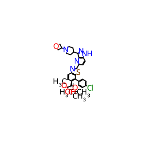 Cc1cc2nc(-c3ccc4[nH]nc(C5CCN(C6COC6)CC5)c4n3)sc2c(-c2ccc(Cl)cc2)c1[C@H](OC(C)(C)C)C(=O)O